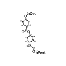 CCCCCCCCCCOc1ccc(C(=O)Oc2ccc(C(C)COCCCCC)cc2)cc1